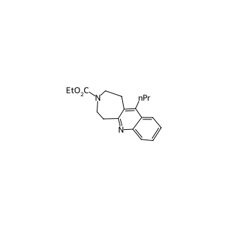 CCCc1c2c(nc3ccccc13)CCN(C(=O)OCC)CC2